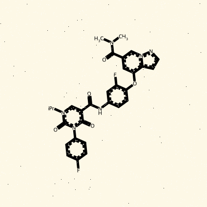 CC(C)n1cc(C(=O)Nc2ccc(Oc3cc(C(=O)N(C)C)cn4nccc34)c(F)c2)c(=O)n(-c2ccc(F)cc2)c1=O